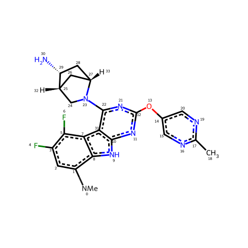 CNc1cc(F)c(F)c2c1[nH]c1nc(Oc3cnc(C)nc3)nc(N3C[C@H]4C[C@@H]3C[C@H]4N)c12